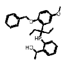 CCC(CC)(Pc1ccccc1C(C)O)c1cc(OC)ccc1OCc1ccccc1